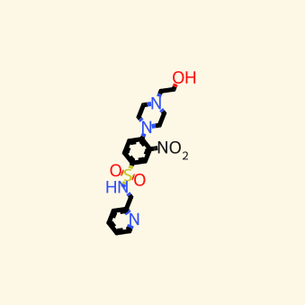 O=[N+]([O-])c1cc(S(=O)(=O)NCc2ccccn2)ccc1N1CCN(CCO)CC1